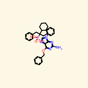 Nc1nc(OCc2ccccc2)c2ncn(CC3CCCCC3C(Cc3ccccc3)(Cc3ccccc3)P(=O)(O)O)c2n1